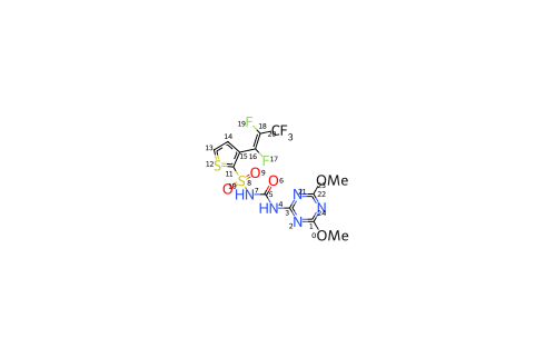 COc1nc(NC(=O)NS(=O)(=O)c2sccc2C(F)=C(F)C(F)(F)F)nc(OC)n1